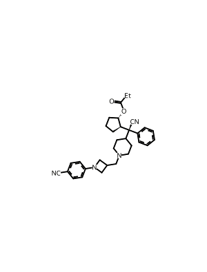 CCC(=O)O[C@H]1CCC[C@@H]1[C@](C#N)(c1ccccc1)C1CCN(CC2CN(c3ccc(C#N)cc3)C2)CC1